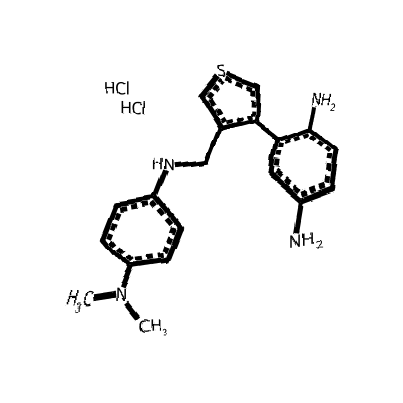 CN(C)c1ccc(NCc2cscc2-c2cc(N)ccc2N)cc1.Cl.Cl